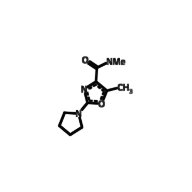 CNC(=O)c1nc(N2CCCC2)oc1C